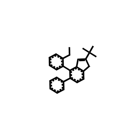 CCc1ccccc1-c1c(-c2ccccc2)ccc2c1C=C(C(C)(C)C)[CH]2